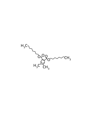 CCCCCCCCOC(=O)C1=C(C(=O)OCCCCCCCC)C2CC1C(C)C2C